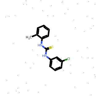 Cc1ccccc1NC(=S)Nc1cccc(Cl)c1